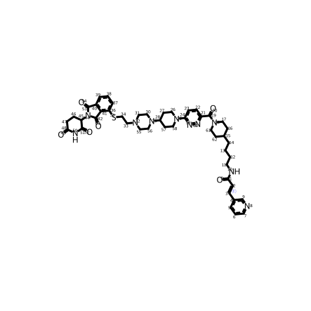 O=C(/C=C/c1cccnc1)NCCCCC1CCN(C(=O)c2ccc(N3CCC(N4CCN(CCSc5cccc6c5C(=O)N(C5CCC(=O)NC5=O)C6=O)CC4)CC3)nn2)CC1